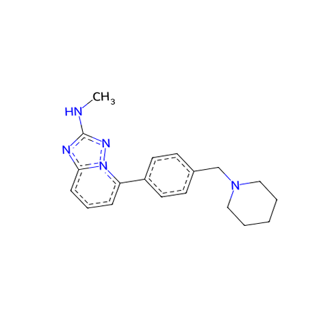 CNc1nc2cccc(-c3ccc(CN4CCCCC4)cc3)n2n1